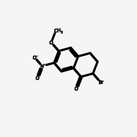 COc1cc2c(cc1[N+](=O)[O-])C(=O)C(Br)CC2